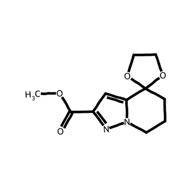 COC(=O)c1cc2n(n1)CCCC21OCCO1